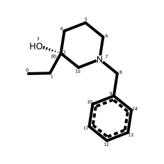 CC[C@@]1(O)CCCN(Cc2ccccc2)C1